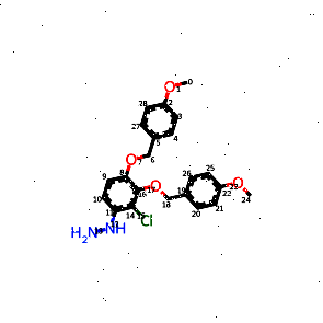 COc1ccc(COc2ccc(NN)c(Cl)c2OCc2ccc(OC)cc2)cc1